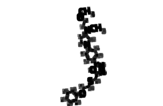 COCCN(C)C1CCN(c2ccc(-c3nnc(CSCCOc4ccccc4)o3)cc2)C1